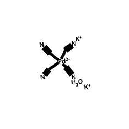 N#[C][Pd-2]([C]#N)([C]#N)[C]#N.O.[K+].[K+]